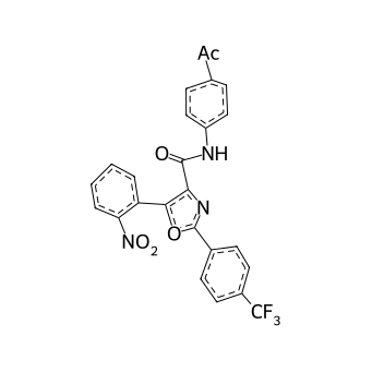 CC(=O)c1ccc(NC(=O)c2nc(-c3ccc(C(F)(F)F)cc3)oc2-c2ccccc2[N+](=O)[O-])cc1